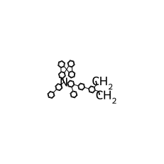 C=Cc1ccc(-c2ccc(-c3ccc(N(c4ccc(-c5ccccc5)cc4)c4ccc5c(c4)C4(c6ccccc6-c6ccccc64)c4ccccc4-5)cc3-c3ccccc3)cc2)cc1C=C